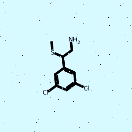 CSC(CN)c1cc(Cl)cc(Cl)c1